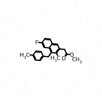 COC(=O)Cc1cc2ccc(F)cc2c(Cc2ccc(C)cc2)c1C